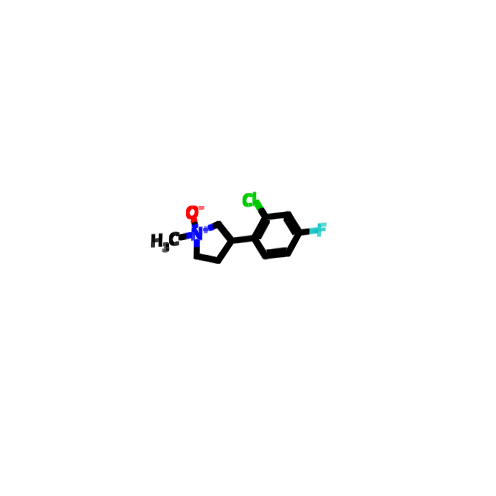 C[N+]1([O-])CCC(c2ccc(F)cc2Cl)C1